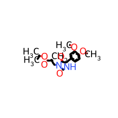 C=C(CN1C(=O)NC(c2ccc(OC)c(OC)c2)C1=O)C(=O)OC(C)C